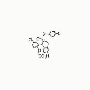 O=C(O)COc1ccc(Cl)cc1C1c2ccccc2CCN1C(=O)[C@@H]1C[C@H]1c1ccc(Cl)cc1